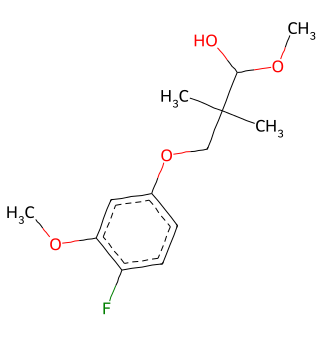 COc1cc(OCC(C)(C)C(O)OC)ccc1F